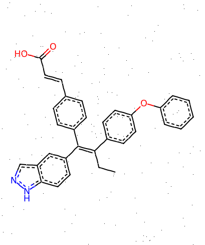 CC/C(=C(/c1ccc(/C=C/C(=O)O)cc1)c1ccc2[nH]ncc2c1)c1ccc(Oc2ccccc2)cc1